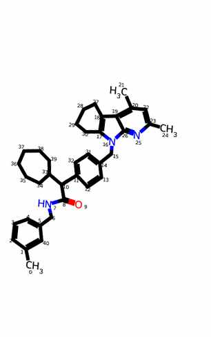 Cc1cccc(CNC(=O)C(c2ccc(Cn3c4c(c5c(C)cc(C)nc53)CCCC4)cc2)C2CCCCCC2)c1